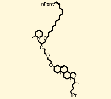 CCCCC/C=C\C/C=C\CCCCCCCCOCC(CN1CCCC[C@@H]1C)OCCOCCO[C@H]1CC[C@@]2(C)C(=CCC3C2CC[C@@]2(C)C3CC[C@@H]2[C@H](C)CCCC(C)C)C1